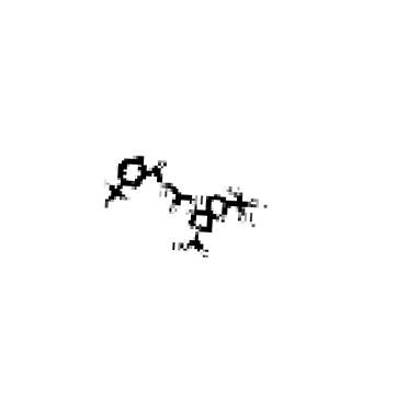 CC(C)(C)C1CCC2(CN(C(=O)O)C[C@@H]2NC(=O)CNC(=O)c2cccc(C(F)(F)F)c2)O1